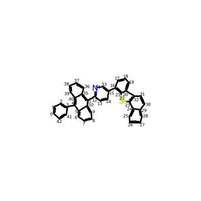 c1ccc(-c2c3ccccc3c(-c3ccc(-c4cccc5c4sc4c6ccccc6ccc54)cn3)c3ccccc23)cc1